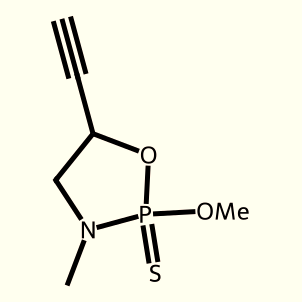 C#CC1CN(C)P(=S)(OC)O1